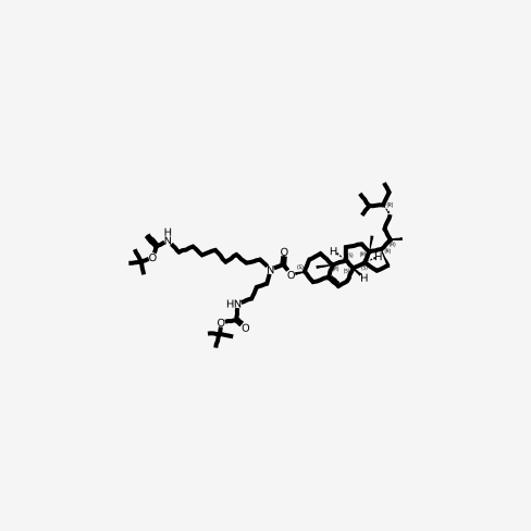 C=C(NCCCCCCCCN(CCCNC(=O)OC(C)(C)C)C(=O)O[C@H]1CC[C@@]2(C)C(=CC[C@H]3[C@@H]4CC[C@H]([C@H](C)CC[C@@H](CC)C(C)C)[C@@]4(C)CC[C@@H]32)C1)OC(C)(C)C